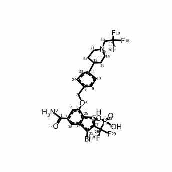 NC(=O)c1cc(OCc2ccc(C3CCN(CC(F)(F)F)CC3)cc2)c2sc(C(F)(F)P(=O)(O)O)c(Br)c2c1